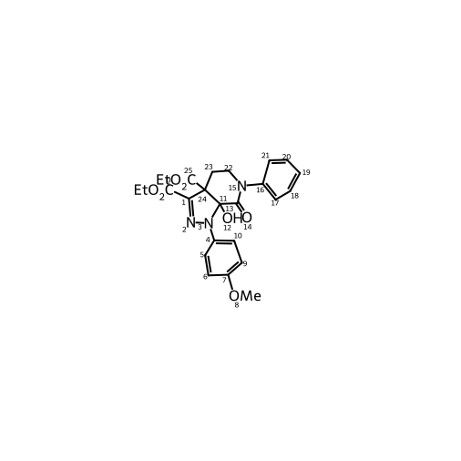 CCOC(=O)C1=NN(c2ccc(OC)cc2)C2(O)C(=O)N(c3ccccc3)CCC12C(=O)OCC